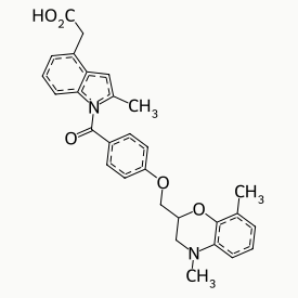 Cc1cccc2c1OC(COc1ccc(C(=O)n3c(C)cc4c(CC(=O)O)cccc43)cc1)CN2C